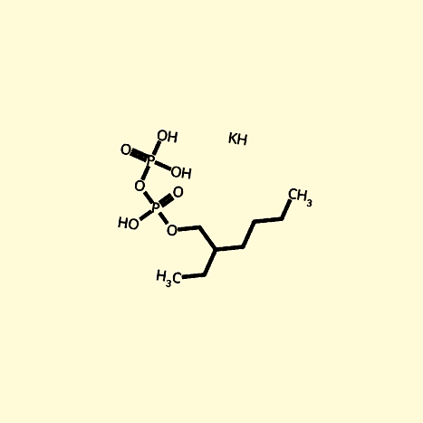 CCCCC(CC)COP(=O)(O)OP(=O)(O)O.[KH]